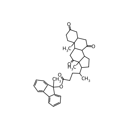 CC(CCC(=O)OC1(C)c2ccccc2-c2ccccc21)C1CCC2C3C(=O)CC4CC(=O)CCC4(C)C3CC(=O)C12C